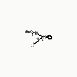 CCOCCCNC(=O)[C@H](CCCCNC(=O)OC(C)(C)C)NCc1ccccc1